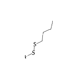 CCCCSSI